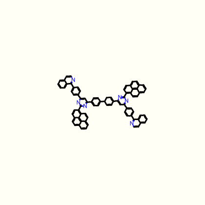 C1=CC(c2ccc(-c3cc(-c4ccc(-c5nccc6ccccc56)cc4)nc(-c4ccc5ccc6cccc7ccc4c5c67)n3)cc2)CC=C1c1cc(-c2ccc(-c3nccc4ccccc34)cc2)nc(-c2ccc3ccc4cccc5ccc2c3c45)n1